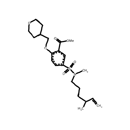 C=CC(C)CCCN(C)S(=O)(=O)c1ccc(OCC2CCOCC2)c(C(=O)OC)c1